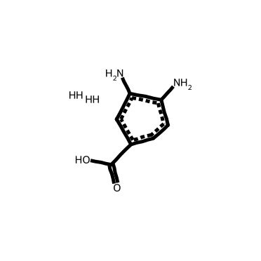 Nc1ccc(C(=O)O)cc1N.[HH].[HH]